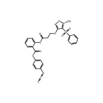 O=C(CCOc1no[n+](O)c1S(=O)(=O)c1ccccc1)Oc1ccccc1C(=O)Oc1ccc(N=C=S)cc1